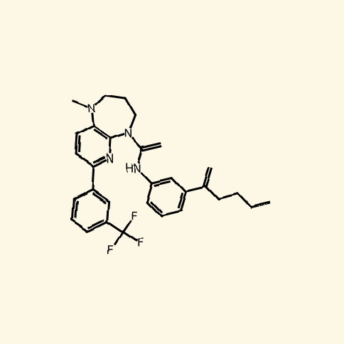 C=C(CCCC)c1cccc(NC(=C)N2CCCN(C)c3ccc(-c4cccc(C(F)(F)F)c4)nc32)c1